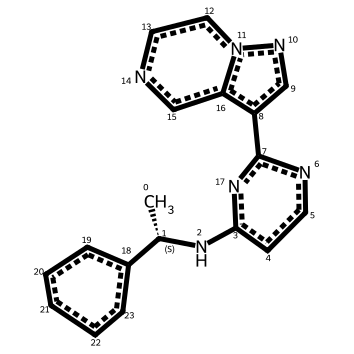 C[C@H](Nc1ccnc(-c2cnn3ccncc23)n1)c1ccccc1